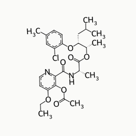 CCOc1ccnc(C(=O)N[C@@H](C)C(=O)O[C@@H](C)[C@@H](CC(C)C)Oc2ccc(C)cc2Cl)c1OC(C)=O